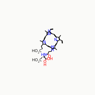 C=CC1=C(C)c2cc3[nH]c(cc4nc(cc5[nH]c(cc1n2)c(C)c5CCC(=O)N[C@@H](CC(=O)O)C(O)O)C(CCC(=O)O)C4C)c(C)c3C=C